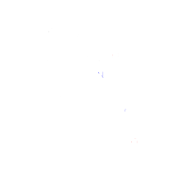 Cc1ccc(C(=O)N(CC/C=C/C=O)c2ccccc2)cc1C